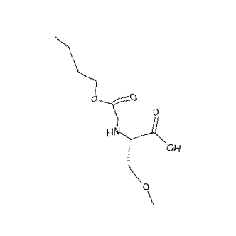 CCCCOC(=O)N[C@@H](COC)C(=O)O